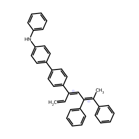 C=C/C(=C\C(=C(/C)c1ccccc1)c1ccccc1)c1ccc(-c2ccc(Nc3ccccc3)cc2)cc1